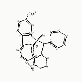 C[N+]1(C(c2ccccc2)C2CCOCC2)c2cc(C(=O)O)ccc2-c2ncc(Br)cc21